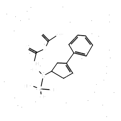 CN(C1CC=C(c2ccccc2)C1)[Si](C)(C)C.O=C(O)SC(=O)O